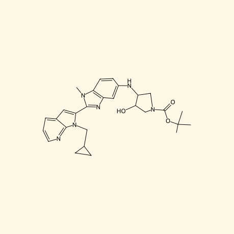 Cn1c(-c2cc3cccnc3n2CC2CC2)nc2cc(NC3CN(C(=O)OC(C)(C)C)CC3O)ccc21